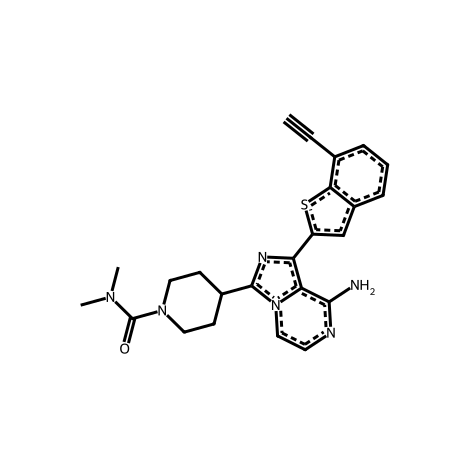 C#Cc1cccc2cc(-c3nc(C4CCN(C(=O)N(C)C)CC4)n4ccnc(N)c34)sc12